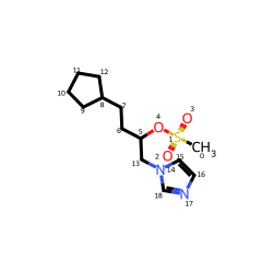 CS(=O)(=O)OC(CCC1CCCC1)Cn1ccnc1